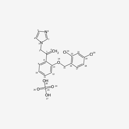 C=C(Cn1ccnc1)c1ccccc1OCc1ccc(Cl)cc1Cl.O=S(=O)(O)O